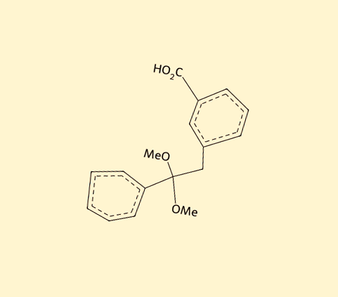 COC(Cc1cccc(C(=O)O)c1)(OC)c1ccccc1